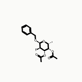 CC(=O)O[C@@H]1[C@@H](F)[C@@H](OCc2ccccc2)O[C@H](C)[C@@H]1OC(C)=O